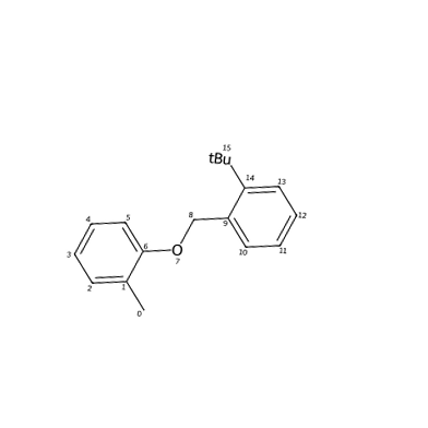 Cc1ccccc1OCc1ccccc1C(C)(C)C